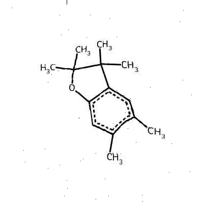 Cc1cc2c(cc1C)C(C)(C)C(C)(C)O2